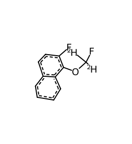 [2H]C([2H])(F)Oc1c(F)ccc2ccccc12